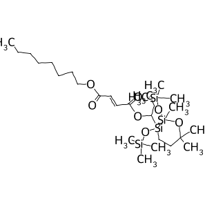 CCCCCCCCOC(=O)C=CC(=O)OC(CC)[Si]1(O[Si](C)(C)C)CCC(C)(C)O[Si]1(C)O[Si](C)(C)C